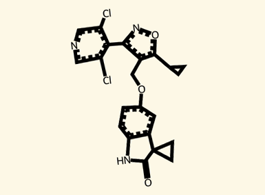 O=C1Nc2ccc(OCc3c(-c4c(Cl)cncc4Cl)noc3C3CC3)cc2C12CC2